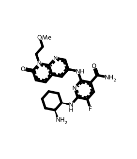 COCCn1c(=O)ccc2cc(Nc3nc(N[C@@H]4CCCC[C@@H]4N)c(F)cc3C(N)=O)cnc21